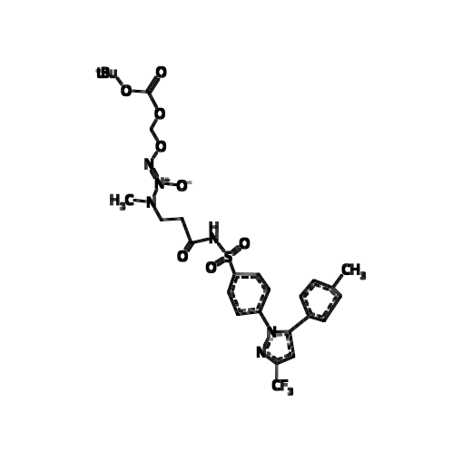 Cc1ccc(-c2cc(C(F)(F)F)nn2-c2ccc(S(=O)(=O)NC(=O)CCN(C)[N+]([O-])=NOCOC(=O)OC(C)(C)C)cc2)cc1